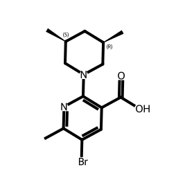 Cc1nc(N2C[C@H](C)C[C@H](C)C2)c(C(=O)O)cc1Br